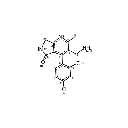 Cc1nc2c(c(-c3ccc(Cl)cc3Cl)c1CN)C(=O)NC2